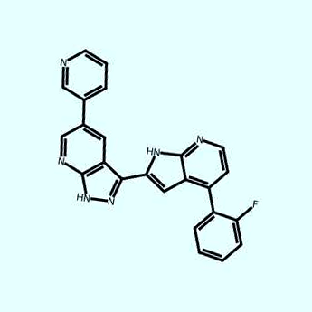 Fc1ccccc1-c1ccnc2[nH]c(-c3n[nH]c4ncc(-c5cccnc5)cc34)cc12